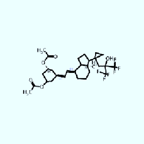 CC(=O)OC1C/C(=C/C=C2\CCC[C@@]3(C)C2CCC3C2(CC(O)(C(F)(F)F)C(F)(F)F)CC2)C[C@@H](OC(C)=O)C1